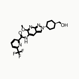 COc1nc2nn([C@H]3CC[C@H](CO)CC3)cc2cc1NC(=O)c1cccc(C(F)(F)F)n1